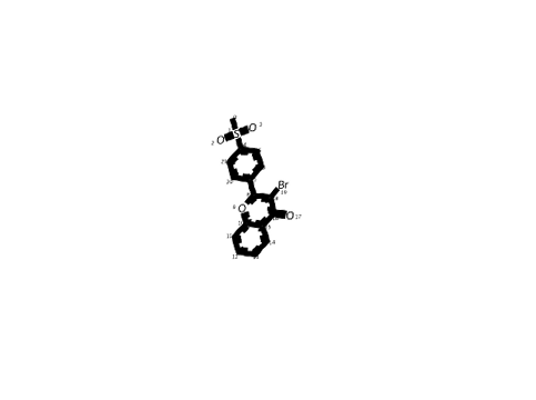 CS(=O)(=O)c1ccc(-c2oc3ccccc3c(=O)c2Br)cc1